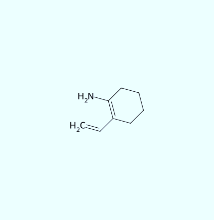 C=CC1=C(N)CCCC1